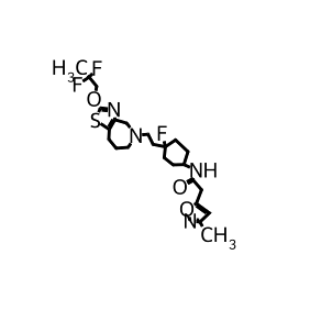 Cc1cc(CC(=O)NC2CCC(F)(CCN3CCCc4sc(OCC(C)(F)F)nc4C3)CC2)on1